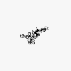 CCOOC[C@@H]1C[C@H]1[C@@]1(C)N=C(N(C(=O)OC(C)(C)C)C(=O)OC(C)(C)C)OCC1(F)F